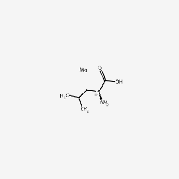 CC(C)C[C@H](N)C(=O)O.[Mo]